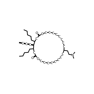 C=C=C=C=C1C(CCCCC)CC(=O)OCCCCCCCCC(CCN(C)C)CCCCCCCCOC(=O)CC1CCCCC